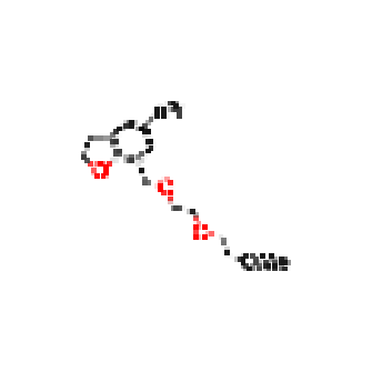 CCCc1cc2c(c(COCCOCCOC)c1)OCC2